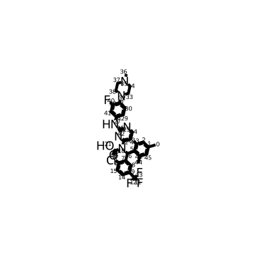 Cc1cc(C)c(C(c2cc(C(F)(F)F)ccc2Cl)N(C(=O)O)c2ccnc(Nc3ccc(N4CCN(C)CC4)c(F)c3)n2)c(C)c1